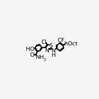 CCCCCCCCc1ccc(Nc2nc(-c3ccc(O)c(C(N)=O)c3)c(Cl)s2)cc1C(F)(F)F